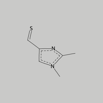 Cc1nc(C=S)cn1C